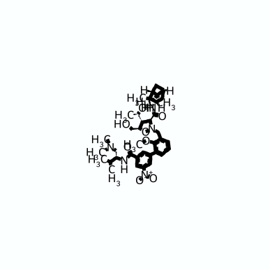 COc1c(CN2O[C@@H](CO)[C@H]([C@H](C)O)[C@H]2C(=O)N[C@H]2C[C@H]3C[C@@H]([C@@H]2C)C3(C)C)cccc1-c1cc(C(=O)N[C@@H](CN(C)C)C(C)C)cc([N+](=O)[O-])c1